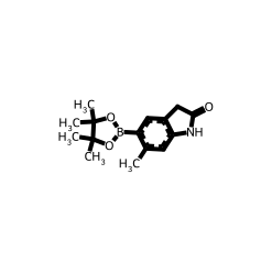 Cc1cc2c(cc1B1OC(C)(C)C(C)(C)O1)CC(=O)N2